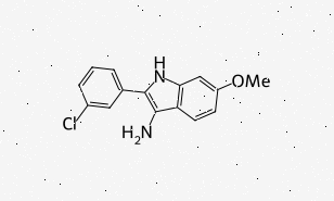 COc1ccc2c(N)c(-c3cccc(Cl)c3)[nH]c2c1